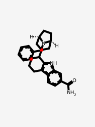 NC(=O)c1ccc2c3c([nH]c2c1)C(C1C[C@H]2CC[C@@H](C1)N2Cc1ccccc1)CCC3